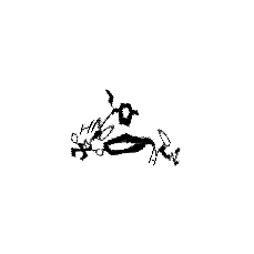 CCC[C@@H](NC(=O)N1C(=O)C(CC)(CC)[C@@H]1Oc1ccc(CNC(=O)CN(C)C)cc1)c1ccc(C)cc1